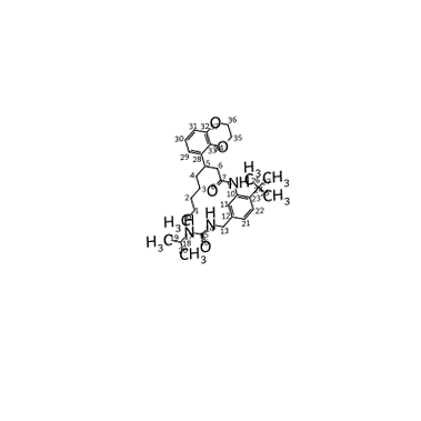 CCCCCC(CC(=O)Nc1cc(CNC(=O)NC(C)C)ccc1C(C)(C)C)c1cccc2c1OCCO2